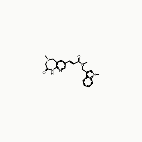 CN1CC(=O)Nc2ncc(C=CC(=O)N(C)Cc3cn(C)c4ccccc34)cc2C1